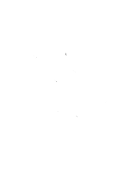 COc1ccc(-c2nc(N)c(C#N)nc2-c2ccc(=O)n(C(C)C)c2)cc1